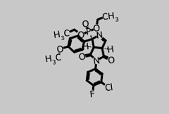 CCOP(=O)(OCC)[C@]1(c2ccc(OC)cc2)N=C[C@H]2C(=O)N(c3ccc(F)c(Cl)c3)C(=O)[C@H]21